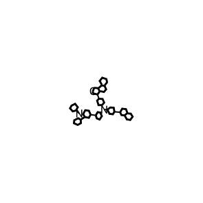 c1ccc(-n2c3ccccc3c3cc(-c4cccc(N(c5ccc(-c6ccc7ccccc7c6)cc5)c5ccc(-c6cccc7c6ccc6ccccc67)cc5)c4)ccc32)cc1